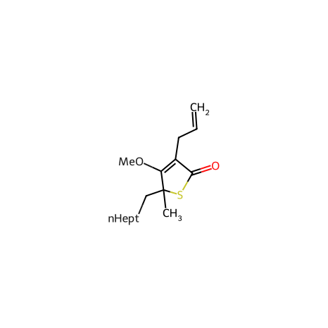 C=CCC1=C(OC)C(C)(CCCCCCCC)SC1=O